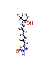 CC(/C=C/C1=C(O)CCCC1(C)C)=C\C=C\C(C)=C\c1n[nH]c(=O)s1